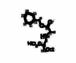 CCCCCCCCC(CNC(C)C(=O)OCc1ccccc1)C(=O)O